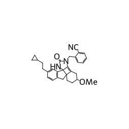 COC1CCC23Cc4ccc(CCC5CC5)cc4C24NC(=O)N(Cc2ccccc2C#N)C4=C3C1